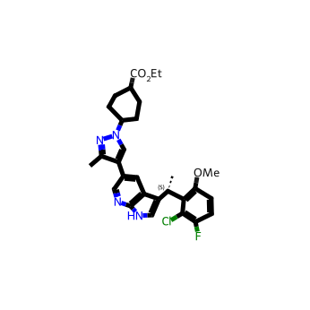 CCOC(=O)C1CCC(n2cc(-c3cnc4[nH]cc([C@H](C)c5c(OC)ccc(F)c5Cl)c4c3)c(C)n2)CC1